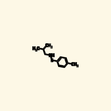 Cc1ccc(SNCC(C)C)cc1